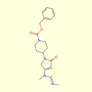 C/N=c1\sc2c(n1C)CN(C1CCN(C(=O)OCc3ccccc3)CC1)C2=O